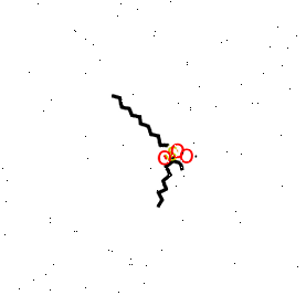 CCCCCCCCCCCCS(=O)(=O)C(CCCCCCC)C(C)[O]